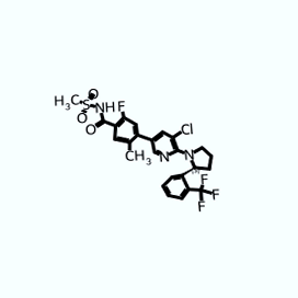 Cc1cc(C(=O)NS(C)(=O)=O)c(F)cc1-c1cnc(N2CCC[C@H]2c2ccccc2C(F)(F)F)c(Cl)c1